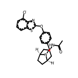 CC(=O)N[C@H]1C[C@H]2CC[C@@H](C1)N2Cc1ccc(Oc2nc3c(Cl)cccc3s2)cc1